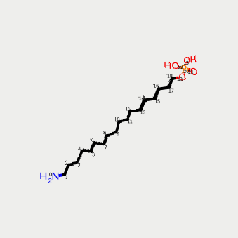 NCCCCCCCCCCCCCCCCCCOP(=O)(O)O